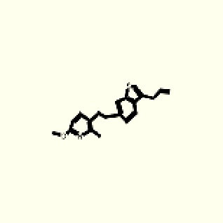 C=CCc1csc2cc(CCc3ccc(OC)nc3C)ccc12